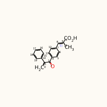 C=C(C(=O)c1ccc(/C=C(\C)C(=O)O)cc1)c1ccccc1